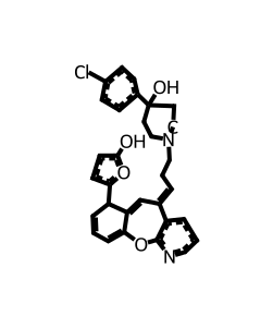 Oc1ccc(C2C=CC=C3Oc4ncccc4C(=CCCN4CCC(O)(c5ccc(Cl)cc5)CC4)C=C32)o1